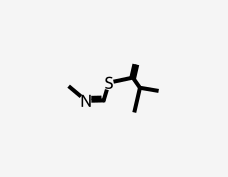 C=C(S/C=N\C)C(C)C